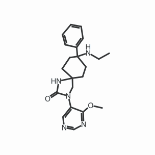 CCNC1(c2ccccc2)CCC2(CC1)CN(c1cncnc1OC)C(=O)N2